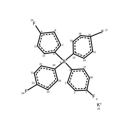 Fc1ccc([B-](c2ccc(F)cc2)(c2ccc(F)cc2)c2ccc(F)cc2)cc1.[K+]